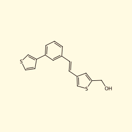 OCc1cc(C=Cc2cccc(-c3ccsc3)c2)cs1